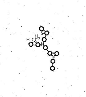 CC1(C)c2ccccc2-c2ccc(N(c3ccc(-c4ccc5c(c4)c4ccccc4n5-c4ccc(-c5ccccc5)cc4)cc3)c3ccc(-c4cccc5c4sc4ccccc45)cc3)cc21